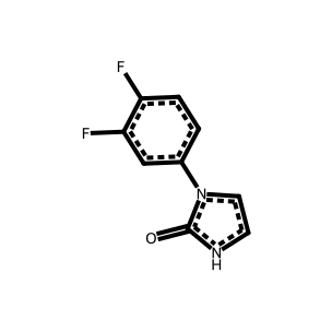 O=c1[nH]ccn1-c1ccc(F)c(F)c1